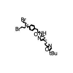 CC(C)(C)c1cnc(CSc2cnc(NC(=O)Cc3ccc(N(CCBr)CCBr)cc3)s2)o1